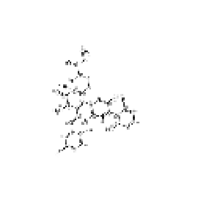 C=CC(=O)N1CCN2c3c(c(=O)n(Cc4ccc(F)cc4)c4nc(-c5c(O)cccc5F)c(Cl)cc34)N(C)C(=O)[C@H]2C1